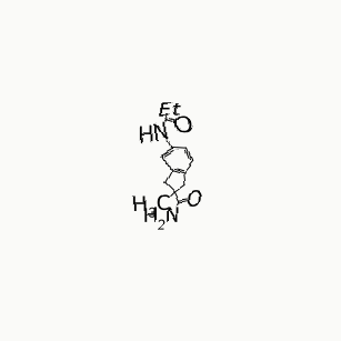 CCC(=O)Nc1ccc2c(c1)CC(C)(C(N)=O)C2